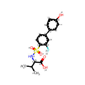 CC(C)[C@@H](NS(=O)(=O)c1ccc(-c2ccc(O)cc2)cc1F)C(=O)O